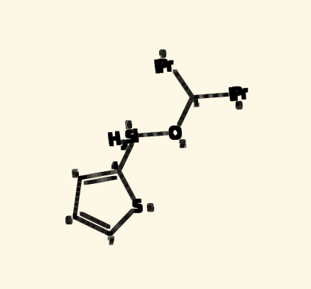 CC(C)C(O[SiH2]c1cccs1)C(C)C